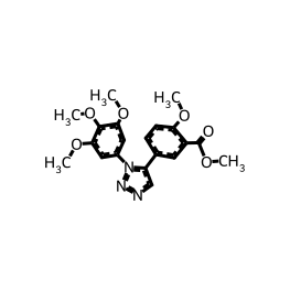 COC(=O)c1cc(-c2cnnn2-c2cc(OC)c(OC)c(OC)c2)ccc1OC